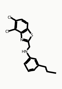 CCCc1cccc(NCc2nc3c(Cl)c(Cl)ccc3s2)c1